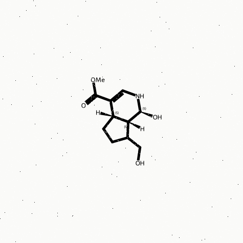 COC(=O)C1=CN[C@@H](O)[C@@H]2C(CO)CC[C@H]12